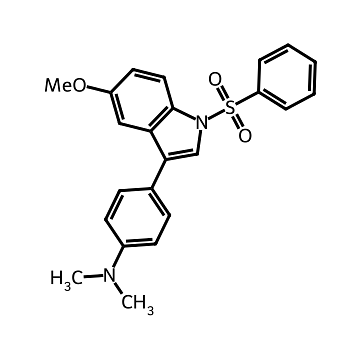 COc1ccc2c(c1)c(-c1ccc(N(C)C)cc1)cn2S(=O)(=O)c1ccccc1